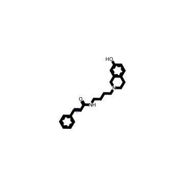 O=C(/C=C/c1ccccc1)NCCCCN1CCc2ccc(O)cc2C1